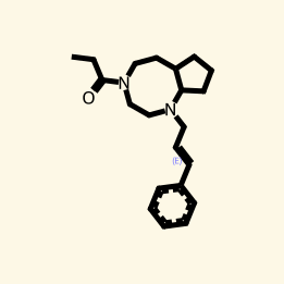 CCC(=O)N1CCC2CCCC2N(C/C=C/c2ccccc2)CC1